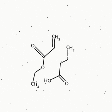 C=CC(=O)OCC.CCCC(=O)O